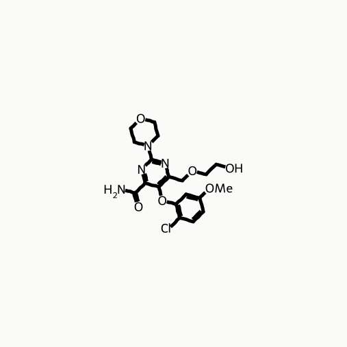 COc1ccc(Cl)c(Oc2c(COCCO)nc(N3CCOCC3)nc2C(N)=O)c1